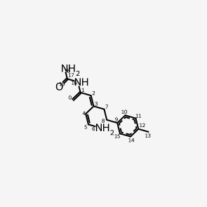 C=C(/C=C(\C=C/N)CCc1ccc(C)cc1)NC(N)=O